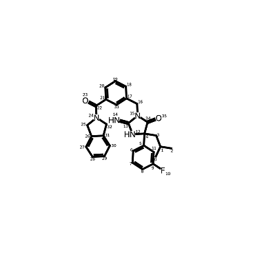 CC(C)CC1(c2cccc(F)c2)NC(=N)N(Cc2cccc(C(=O)N3Cc4ccccc4C3)c2)C1=O